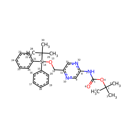 CC(C)(C)OC(=O)Nc1cnc(CO[Si](c2ccccc2)(c2ccccc2)C(C)(C)C)cn1